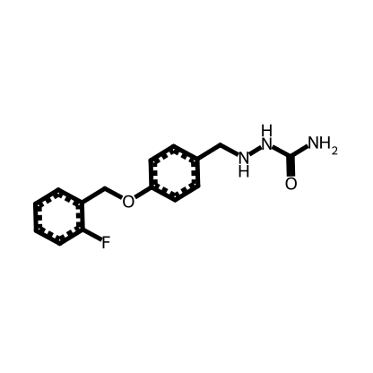 NC(=O)NNCc1ccc(OCc2ccccc2F)cc1